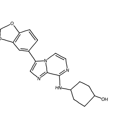 OC1CCC(Nc2nccn3c(-c4ccc5c(c4)OCO5)cnc23)CC1